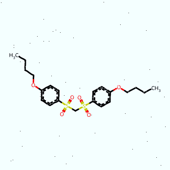 CCCCOc1ccc(S(=O)(=O)CS(=O)(=O)c2ccc(OCCCC)cc2)cc1